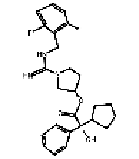 N=C(NCc1c(F)cccc1F)N1CC[C@@H](OC(=O)[C@](O)(c2ccccc2)C2CCCC2)C1